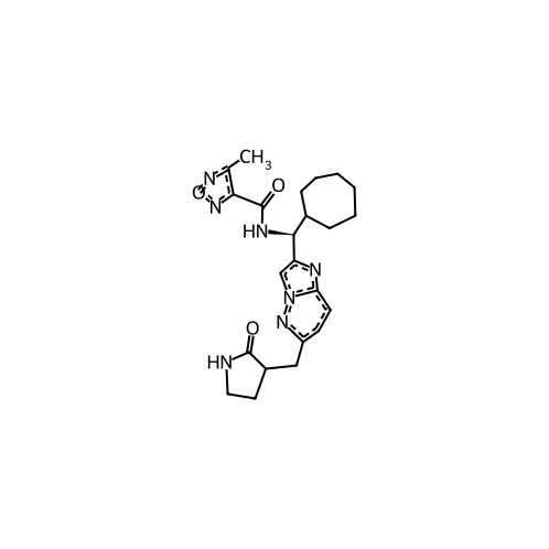 Cc1nonc1C(=O)N[C@H](c1cn2nc(CC3CCNC3=O)ccc2n1)C1CCCCCC1